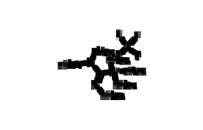 CCCCCCN=C(N(CCCCCC)CCCCCC)[N+](CCCCCC)(CCCCCC)CCCCCC.F[B-](F)(F)F